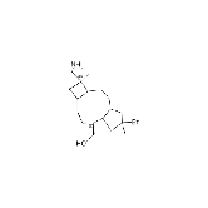 CCC1(C)CC2CCC3C(CC[C@H](CO)C2C1)C[C@@]3(C)CN